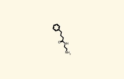 NCCNC(=O)CCCc1ccccc1